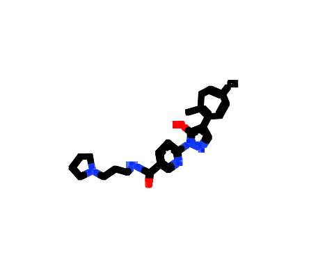 CC1=C(c2cnn(-c3ccc(C(=O)NCCCN4CCCC4)cn3)c2O)C=CC(C#N)=CC1